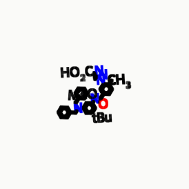 CON(C(=O)c1ccc(C)c(-n2cc(C(=O)O)nn2)c1)c1cc(N(Cc2ccccc2)Cc2ccccc2)cc(C(C)(C)C)c1